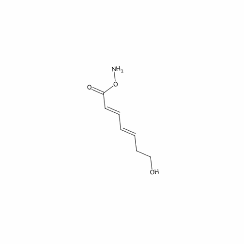 NOC(=O)C=CC=CCCO